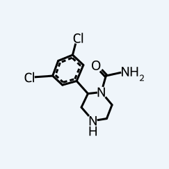 NC(=O)N1CCNCC1c1cc(Cl)cc(Cl)c1